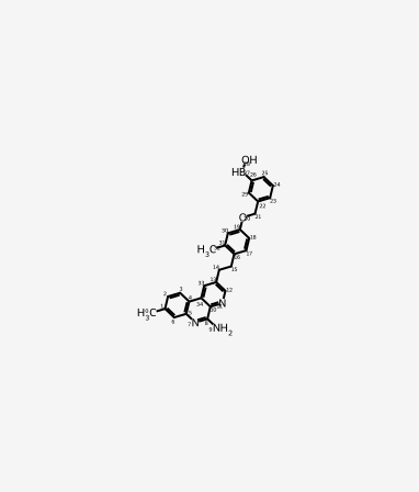 Cc1ccc2c(c1)nc(N)c1ncc(CCc3ccc(OCc4cccc(BO)c4)cc3C)cc12